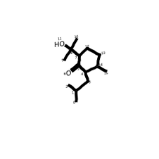 CC(C)CC1C(=O)C(C(C)(C)O)CCC1C